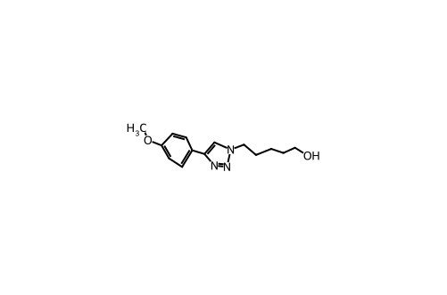 COc1ccc(-c2cn(CCCCCO)nn2)cc1